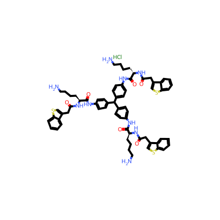 Cl.NCCCC[C@H](NC(=O)Cc1csc2ccccc12)C(=O)Nc1ccc(C(c2ccc(NC(=O)[C@H](CCCCN)NC(=O)Cc3csc4ccccc34)cc2)c2ccc(NC(=O)[C@H](CCCCN)NC(=O)Cc3csc4ccccc34)cc2)cc1